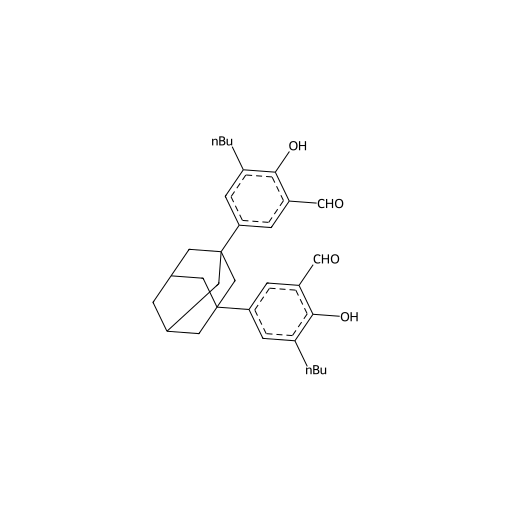 CCCCc1cc(C23CC4CC(C2)CC(c2cc(C=O)c(O)c(CCCC)c2)(C4)C3)cc(C=O)c1O